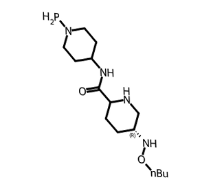 CCCCON[C@@H]1CCC(C(=O)NC2CCN(P)CC2)NC1